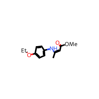 CCOc1ccc(N/C(C)=C\C(=O)OC)cc1